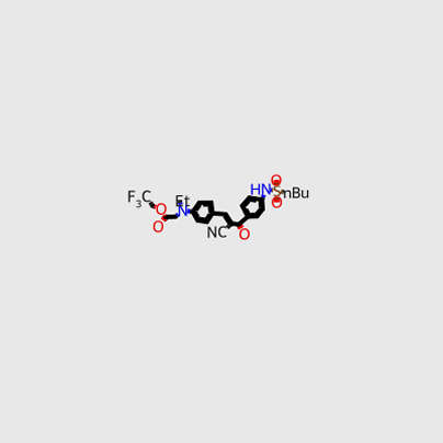 CCCCS(=O)(=O)Nc1ccc(C(=O)C(C#N)=Cc2ccc(N(CC)CC(=O)OCC(F)(F)F)cc2)cc1